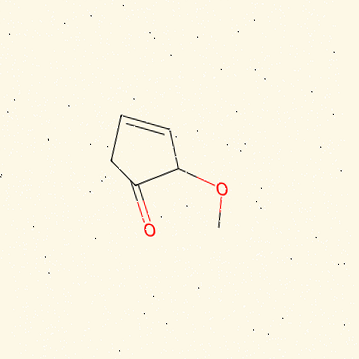 COC1C=CCC1=O